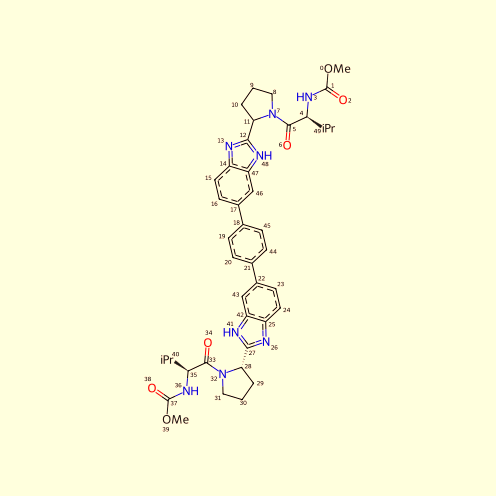 COC(=O)N[C@H](C(=O)N1CCCC1c1nc2ccc(-c3ccc(-c4ccc5nc([C@@H]6CCCN6C(=O)[C@@H](NC(=O)OC)C(C)C)[nH]c5c4)cc3)cc2[nH]1)C(C)C